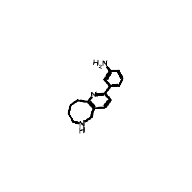 Nc1cccc(-c2ccc3c(n2)CCCCNC3)c1